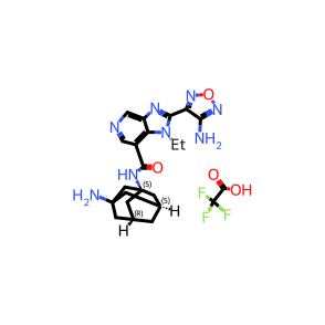 CCn1c(-c2nonc2N)nc2cncc(C(=O)N[C@@]34C[C@@H]5C[C@@H](CC(N)(C5)C3)C4)c21.O=C(O)C(F)(F)F